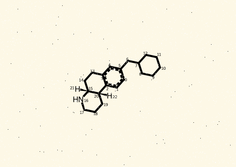 c1cc2c(cc1CC1CCCCC1)CC[C@H]1NCCC[C@@H]21